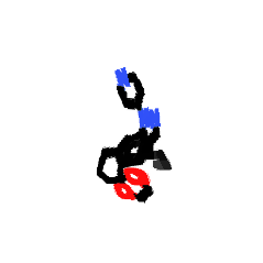 CC12Cc3cnn(-c4ccncc4)c3C=C1CCCC21OCCO1